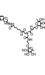 C[C@@H]1O[C@@H](OCCNC(=O)CN(CC(=O)NCCCCCC(=O)NN[C@H](C=O)Cc2ccccc2)CC(=O)NCCO[C@@H]2O[C@@H](C)[C@@H](O)[C@@H](O)[C@@H]2O)[C@@H](O)[C@H](O)[C@@H]1O